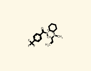 C=CCN(C)[C@@H]1CCCC[C@H]1N(C)C(=O)c1ccc(C(F)(F)F)cc1